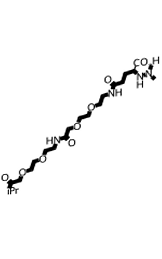 CC(C)C(=O)COCCOCCNC(=O)COCCOCCNC(=O)CC[C@@H](NN(C)C)C(=O)O